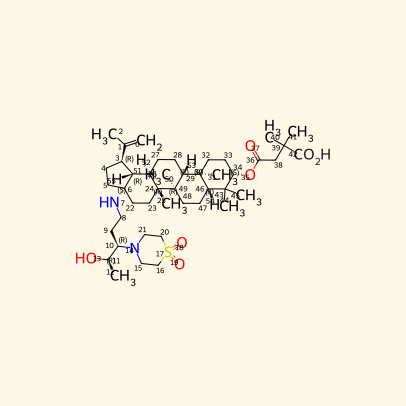 C=C(C)[C@@H]1CC[C@]2(NCC[C@H]([C@@H](C)O)N3CCS(=O)(=O)CC3)CC[C@]3(C)[C@H](CC[C@@H]4[C@@]5(C)CC[C@H](OC(=O)CC(C)(C)C(=O)O)C(C)(C)[C@@H]5CC[C@]43C)[C@@H]12